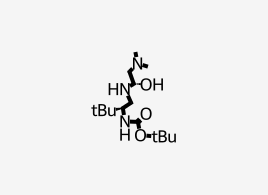 CN(C)C[C@H](O)NC[C@@H](NC(=O)OC(C)(C)C)C(C)(C)C